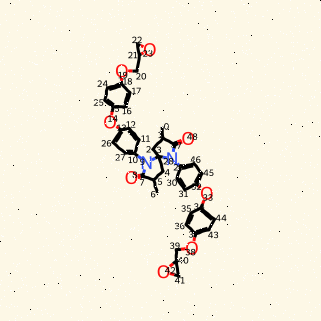 CC1CC2(CC(C)C(=O)N2c2ccc(Oc3ccc(OCC4CO4)cc3)cc2)N(c2ccc(Oc3ccc(OCC4CO4)cc3)cc2)C1=O